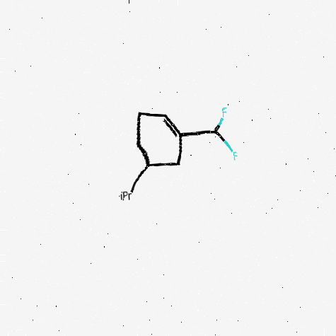 C[C](C)C1CCC=C(C(F)F)C1